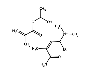 C=C(C)C(=O)OC(C)O.CCC(C=C(C)C(N)=O)N(C)C